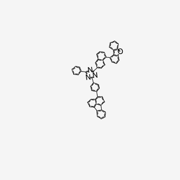 c1ccc(-c2nc(-c3ccc(-c4ccc5c6c(cccc46)-c4ccccc4-5)cc3)nc(-c3ccc4c(-c5cccc6oc7ccccc7c56)cccc4c3)n2)cc1